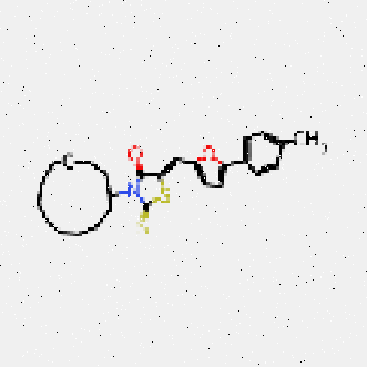 Cc1ccc(-c2ccc(/C=C3\SC(=S)N(C4CCCCCCCCCCC4)C3=O)o2)cc1